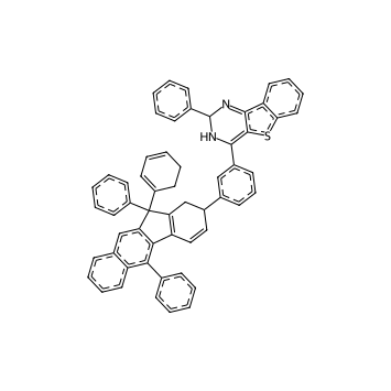 C1=CCCC(C2(c3ccccc3)C3=C(C=CC(c4cccc(C5=c6sc7ccccc7c6=NC(c6ccccc6)N5)c4)C3)c3c2cc2ccccc2c3-c2ccccc2)=C1